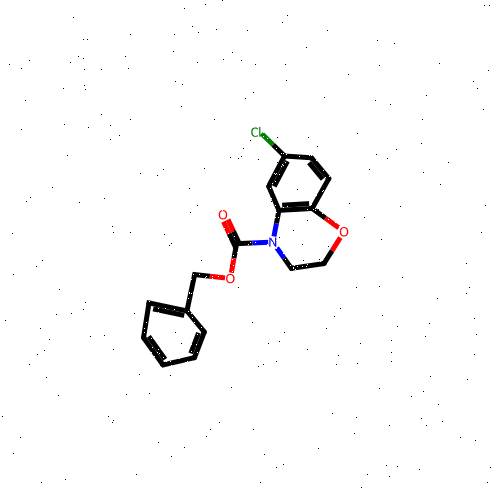 O=C(OCc1ccccc1)N1CCOc2ccc(Cl)cc21